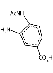 CC(=O)Nc1ccc(C(=O)O)cc1N